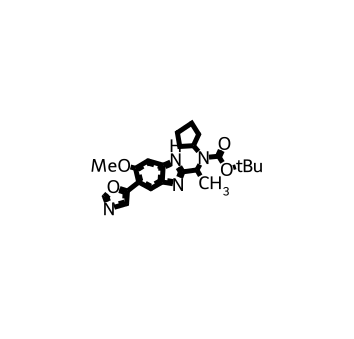 COc1cc2[nH]c(C(C)N(C(=O)OC(C)(C)C)C3CCCC3)nc2cc1-c1cnco1